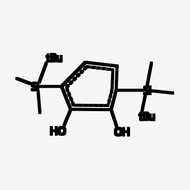 CC(C)(C)[Si](C)(C)c1ccc([Si](C)(C)C(C)(C)C)c(O)c1O